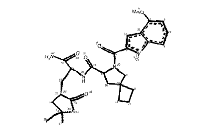 COc1cccc2[nH]c(C(=O)N3CC4(CCC4)CC3C(=O)NC(C[C@@H]3CC(C)(C)NC3=O)C(N)=O)cc12